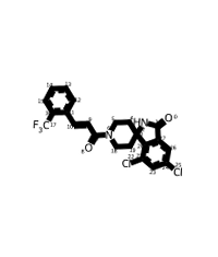 O=C1NC2(CCN(C(=O)/C=C/c3ccccc3C(F)(F)F)CC2)c2c(Cl)cc(Cl)cc21